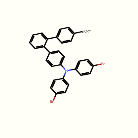 CCCCCCCCc1ccc(-c2ccccc2-c2ccc(N(c3ccc(Br)cc3)c3ccc(Br)cc3)cc2)cc1